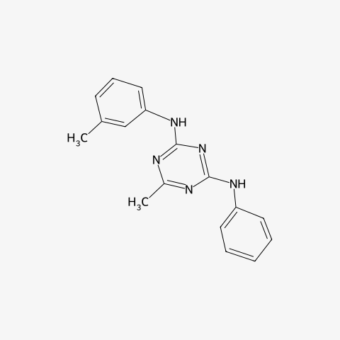 Cc1cccc(Nc2nc(C)nc(Nc3ccccc3)n2)c1